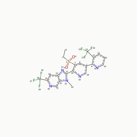 CCS(=O)(=O)c1cc(-c2ncccc2C(F)(F)F)cnc1-c1nc2cc(C(F)(F)F)ncc2n1C